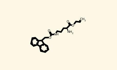 C=CCOC(=O)[C@@H](N)CCCNC(=O)OCC1c2ccccc2-c2ccccc21